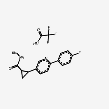 CC(C)(C)NC(=O)C1CC1c1ccc(-c2ccc(F)cc2)nc1.O=C(O)C(F)(F)F